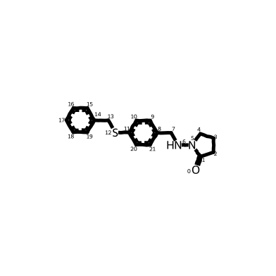 O=C1CCCN1NCc1ccc(SCc2ccccc2)cc1